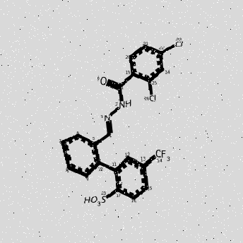 O=C(NN=Cc1ccccc1-c1cc(C(F)(F)F)ccc1S(=O)(=O)O)c1ccc(Cl)cc1Cl